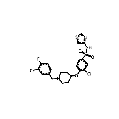 O=S(=O)(Nc1cscn1)c1ccc(OC2CCN(Cc3ccc(F)c(Cl)c3)CC2)c(Cl)c1